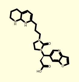 O=C(O)C[C@H](c1cnc2ccoc2c1)N1CCN(CCCC2=CC=C3CCCNC3N2)C1=O